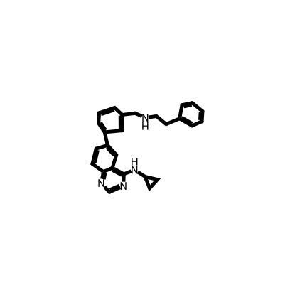 c1ccc(CCNCc2cccc(-c3ccc4ncnc(NC5CC5)c4c3)c2)cc1